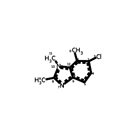 Cc1c(Cl)ccc2nc(C)n(C)c12